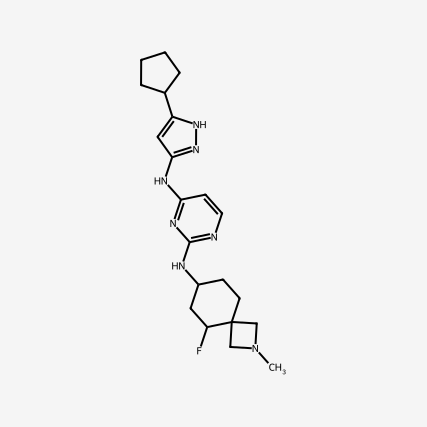 CN1CC2(CCC(Nc3nccc(Nc4cc(C5CCCC5)[nH]n4)n3)CC2F)C1